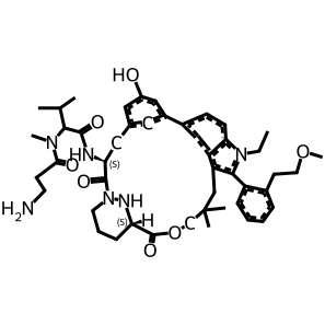 CCn1c(-c2ccccc2CCOC)c2c3cc(ccc31)-c1cc(O)cc(c1)C[C@H](NC(=O)C(C(C)C)N(C)C(=O)CCN)C(=O)N1CCC[C@H](N1)C(=O)OCC(C)(C)C2